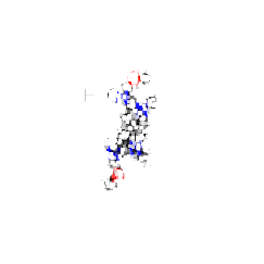 CCn1c2ccc(Oc3ccccc3)cc2c2cc(N(c3ccccc3)c3ccc4c(c3)C3(c5ccccc5-c5ccccc53)c3cc(N(c5ccccc5)c5ccc6c(c5)c5cc(Oc7ccccc7)ccc5n6CC)ccc3-4)ccc21